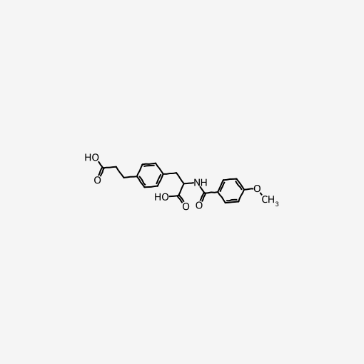 COc1ccc(C(=O)NC(Cc2ccc(CCC(=O)O)cc2)C(=O)O)cc1